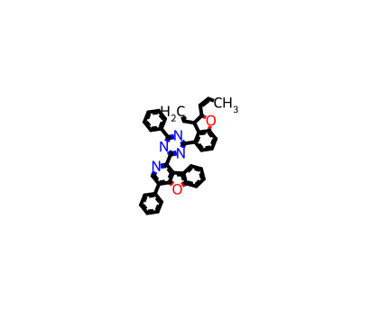 C=CC1c2c(cccc2-c2nc(-c3ccccc3)nc(-c3ncc(-c4ccccc4)c4oc5ccccc5c34)n2)OC1/C=C\C